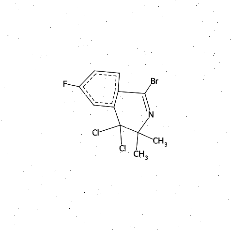 CC1(C)N=C(Br)c2ccc(F)cc2C1(Cl)Cl